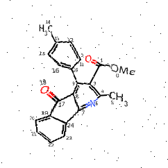 COC(=O)c1c(C)nc2c(c1-c1ccc(C)cc1)C(=O)c1ccccc1-2